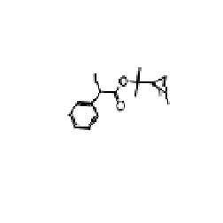 CN1CC1C(C)(C)OC(=O)C(I)c1ccccc1